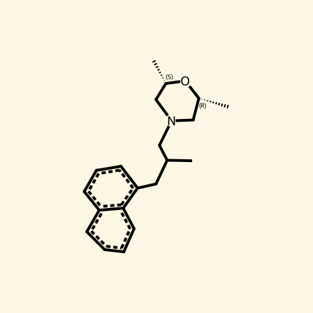 CC(Cc1cccc2ccccc12)CN1C[C@@H](C)O[C@@H](C)C1